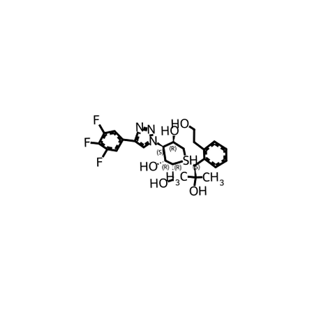 CC(C)(O)[C@H](c1ccccc1CCO)[SH]1C[C@H](O)[C@H](n2cc(-c3cc(F)c(F)c(F)c3)nn2)[C@@H](O)[C@H]1CO